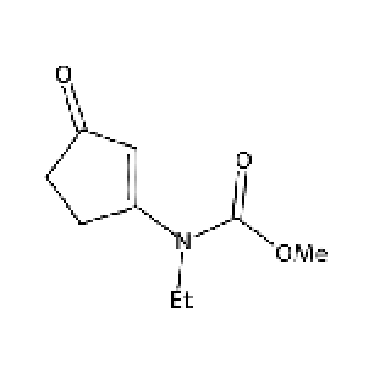 CCN(C(=O)OC)C1=CC(=O)CC1